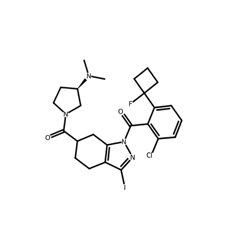 CN(C)[C@@H]1CCN(C(=O)C2CCc3c(I)nn(C(=O)c4c(Cl)cccc4C4(F)CCC4)c3C2)C1